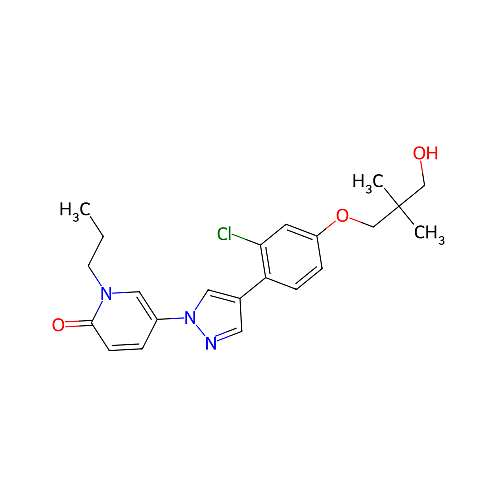 CCCn1cc(-n2cc(-c3ccc(OCC(C)(C)CO)cc3Cl)cn2)ccc1=O